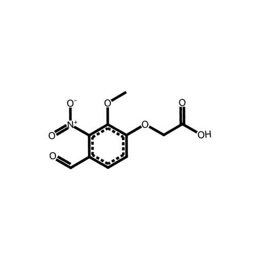 COc1c(OCC(=O)O)ccc(C=O)c1[N+](=O)[O-]